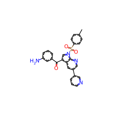 Cc1ccc(S(=O)(=O)n2cc(C(=O)c3cccc(N)c3)c3cc(-c4cccnc4)cnc32)cc1